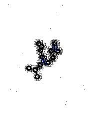 c1ccc(-c2cc(-c3ccccc3)cc(-c3ccc(N(c4ccc(-c5ccc6c(ccc7ccccc76)c5)cc4)c4cccc(-c5cccc(-c6cccc7c6c6ccccc6n7-c6ccccc6)c5)c4)cc3)c2)cc1